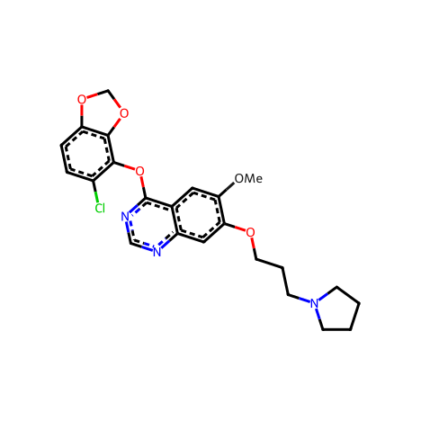 COc1cc2c(Oc3c(Cl)ccc4c3OCO4)ncnc2cc1OCCCN1CCCC1